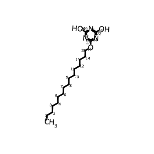 CCCCCCCCCCCCCCCCOc1nc(O)nc(O)n1